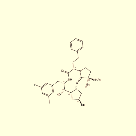 CC[C@@H](C)[C@@]1(NC(C)=O)CCN([C@@H](CCc2ccccc2)C(=O)N[C@@H](Cc2cc(F)cc(F)c2)[C@@H](O)[C@H]2C[C@H](O)CN2)C1=O